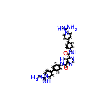 N=C(N)N1CC=C(c2ccc(NC(=O)c3cc(C(=O)Nc4ccc(C5=CCN(C(=N)N)CC5)cc4)ncn3)cc2)CC1